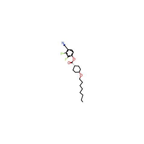 CCCCCCCCO[C@H]1CC[C@H](C(=O)Oc2ccc(C#N)c(F)c2F)CC1